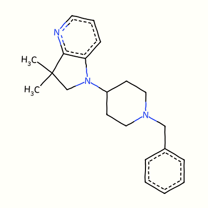 CC1(C)CN(C2CCN(Cc3ccccc3)CC2)c2cccnc21